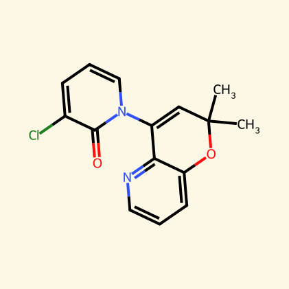 CC1(C)C=C(n2cccc(Cl)c2=O)c2ncccc2O1